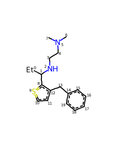 CCC(NCCN(C)C)c1sccc1Cc1ccccc1